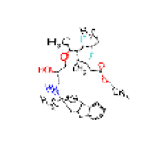 C=C(CCC(=O)OCC)/C(=C(F)\C(F)=C/C)C(C)OC[C@H](O)CNC(C)(C)CC1Cc2ccccc2C1